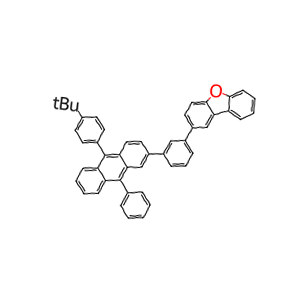 CC(C)(C)c1ccc(-c2c3ccccc3c(-c3ccccc3)c3cc(-c4cccc(-c5ccc6oc7ccccc7c6c5)c4)ccc23)cc1